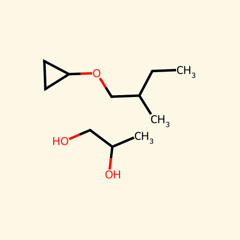 CC(O)CO.CCC(C)COC1CC1